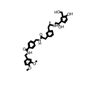 COc1ccc(CNC(=O)c2ccc(CNC(=O)Cc3cccc(C[C@@H](C)NC[C@H](O)c4ccc(O)c(CO)c4)c3)cc2)cc1OC